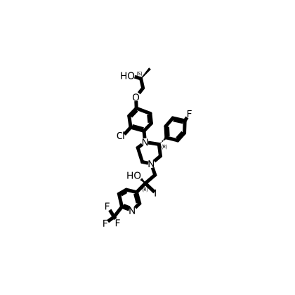 C[C@H](O)COc1ccc(N2CCN(C[C@](O)(I)c3ccc(C(F)(F)F)nc3)C[C@H]2c2ccc(F)cc2)c(Cl)c1